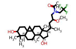 COC(C[C@@H](C)[C@H]1C[C@H](O)[C@@]2(C)C3CC[C@H]4C(C)(C)C(O)CCC45CC35CCC12C)CN(CC(F)(F)F)C(C)=O